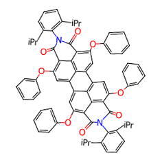 CC(C)c1cccc(C(C)C)c1N1C(=O)c2c(Oc3ccccc3)cc3c4cc(Oc5ccccc5)c5c6c(c(Oc7ccccc7)cc(c7cc(Oc8ccccc8)c(c2c37)C1=O)c64)C(=O)N(c1c(C(C)C)cccc1C(C)C)C5=O